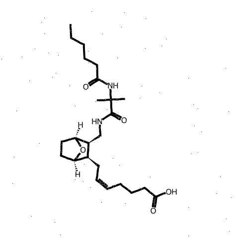 CCCCCC(=O)NC(C)(C)C(=O)NC[C@H]1[C@@H](C/C=C\CCCC(=O)O)[C@H]2CC[C@@H]1O2